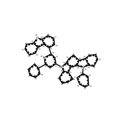 c1ccc(-c2cc(-n3c4ccccc4c4c3ccc3c5ccccc5n(-c5ccccc5)c34)cc(-c3cccc4oc5ccccc5c34)n2)cc1